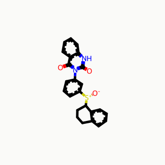 O=c1[nH]c2ccccc2c(=O)n1-c1cccc([S+]([O-])C2CCCc3ccccc32)c1